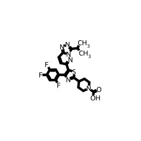 CC(C)c1nnc2ccc(-c3sc(C4CCN(C(=O)O)CC4)nc3-c3cc(F)c(F)cc3F)nn12